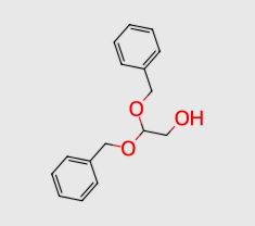 OCC(OCc1ccccc1)OCc1ccccc1